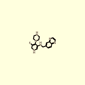 FC1=C(N2CCNCC2)C(NCc2ccc3nccnc3c2)=CNC1